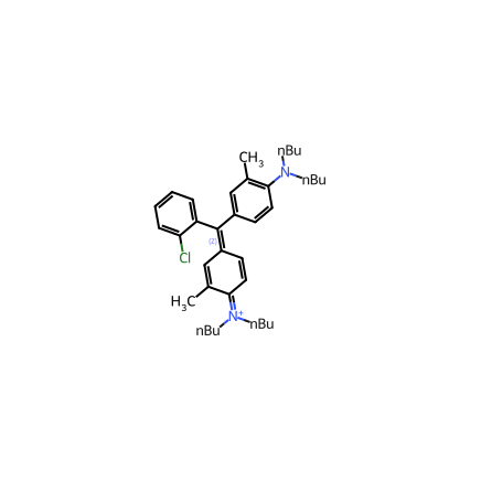 CCCCN(CCCC)c1ccc(/C(=C2\C=CC(=[N+](CCCC)CCCC)C(C)=C2)c2ccccc2Cl)cc1C